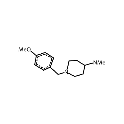 CNC1CCN(Cc2ccc(OC)cc2)CC1